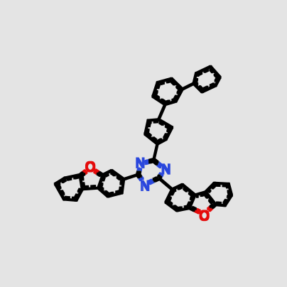 c1ccc(-c2cccc(-c3ccc(-c4nc(-c5ccc6c(c5)oc5ccccc56)nc(-c5ccc6oc7ccccc7c6c5)n4)cc3)c2)cc1